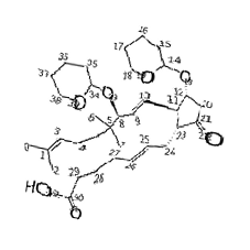 CC(C)=CCC(C)(C)[C@H](C=C[C@H]1[C@H](OC2CCCCO2)CC(=O)[C@@H]1C/C=C/CCCC(=O)O)OC1CCCCO1